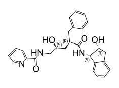 O=C(NC[C@@H](O)C[C@@H](Cc1ccccc1)C(=O)N[C@H]1c2ccccc2C[C@H]1O)c1ccccn1